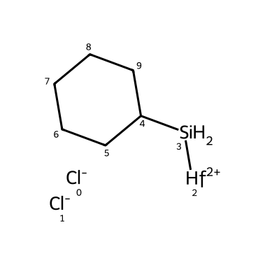 [Cl-].[Cl-].[Hf+2][SiH2]C1CCCCC1